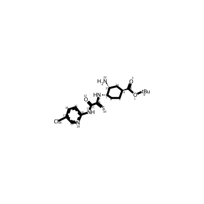 CC(C)(C)OC(=O)[C@H]1CC[C@H](NC(=S)C(=O)Nc2ccc(Cl)cn2)[C@H](N)C1